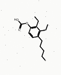 CCCCCc1ccc(OC(=O)O)c(CC)c1CC